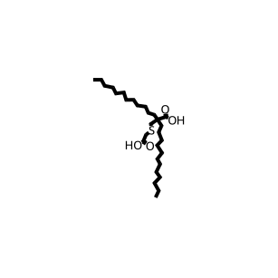 CCCCCCCCCCCCC(CCCCCCCCCCCC)(CSCC(=O)O)C(=O)O